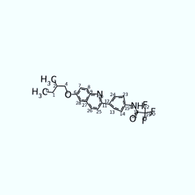 CCC(C)COc1ccc2nc(-c3ccc(NC(=O)C(F)(F)F)cc3)ccc2c1